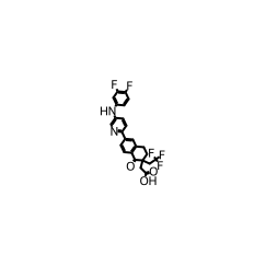 O=C(O)CC1(CC(F)(F)F)CCc2cc(-c3ccc(Nc4ccc(F)c(F)c4)cn3)ccc2C1=O